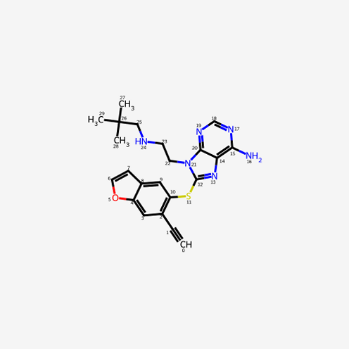 C#Cc1cc2occc2cc1Sc1nc2c(N)ncnc2n1CCNCC(C)(C)C